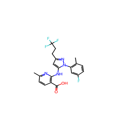 Cc1ccc(C(=O)O)c(Nc2cc(CCC(F)(F)F)nn2-c2cc(F)ccc2C)n1